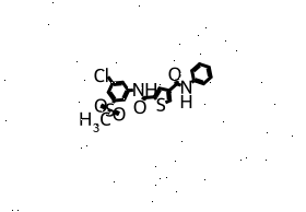 CS(=O)(=O)c1cc(Cl)cc(NC(=O)c2cc(C(=O)Nc3ccccc3)cs2)c1